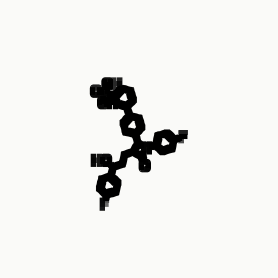 O=C1C(CC[C@H](O)c2ccc(F)cc2)C(c2ccc(-c3cccc(P(=O)(O)O)c3)cc2)N1c1ccc(F)cc1